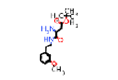 COc1cccc(CCNC(=O)C(N)CC(=O)OC(C)(C)C)c1